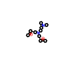 c1ccc(-n2c3ccccc3c3cc4cc(N(c5ccc(-c6cccc7c6oc6ccccc67)cc5)c5ccc(-c6cccc7c6oc6ccccc67)cc5)ccc4cc32)cc1